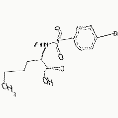 CCCCC(NS(=O)(=O)c1ccc(Br)cc1)C(=O)O